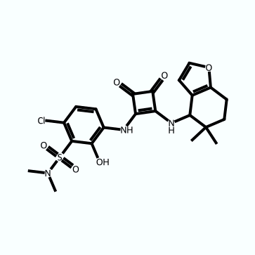 CN(C)S(=O)(=O)c1c(Cl)ccc(Nc2c(NC3c4ccoc4CCC3(C)C)c(=O)c2=O)c1O